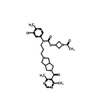 CC(=O)N1CC(OC(=O)N(CCCN2CC3CN(C(=O)c4c(C)ncnc4C)CC3C2)c2ccc(C)c(Cl)c2)C1